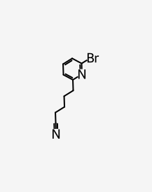 N#CCCCCc1cccc(Br)n1